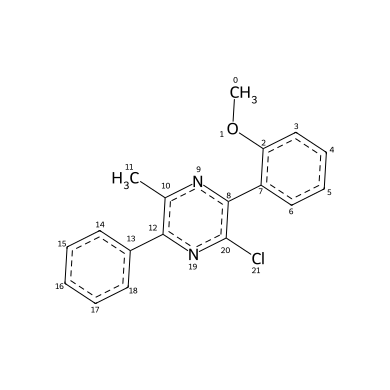 COc1ccccc1-c1nc(C)c(-c2ccccc2)nc1Cl